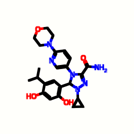 CC(C)c1cc(C2N(c3ccc(N4CCOCC4)nc3)C(C(N)=O)=NN2C2CC2)c(O)cc1O